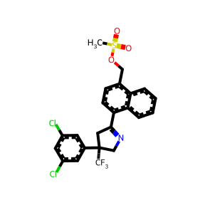 CS(=O)(=O)OCc1ccc(C2=NCC(c3cc(Cl)cc(Cl)c3)(C(F)(F)F)C2)c2ccccc12